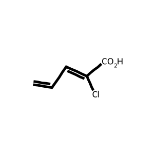 C=CC=C(Cl)C(=O)O